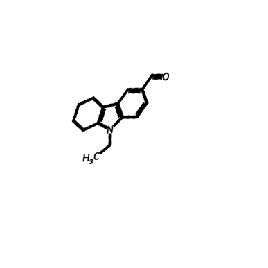 CCn1c2c(c3cc(C=O)ccc31)CCCC2